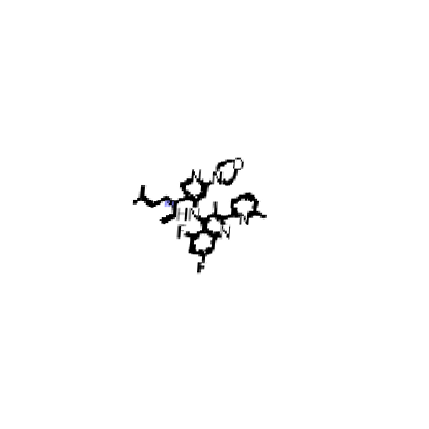 C=C/C(=C\C=C(C)C)c1cnc(N2CCOCC2)cc1Nc1c(C)c(-c2cccc(C)n2)nc2cc(F)cc(F)c12